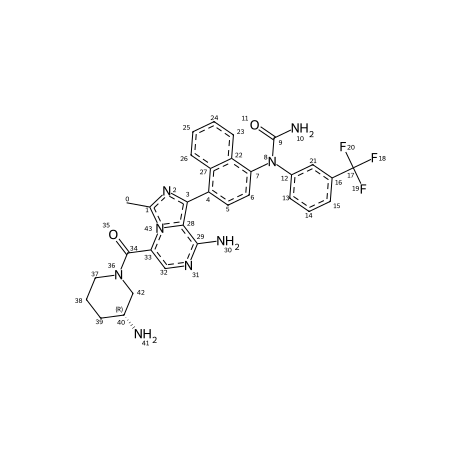 Cc1nc(-c2ccc(N(C(N)=O)c3cccc(C(F)(F)F)c3)c3ccccc23)c2c(N)ncc(C(=O)N3CCC[C@@H](N)C3)n12